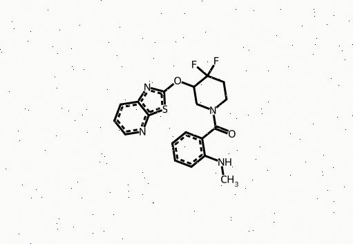 CNc1ccccc1C(=O)N1CCC(F)(F)C(Oc2nc3cccnc3s2)C1